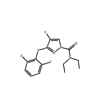 CCN(CC)C(=O)n1cc(F)c(Sc2c(F)cccc2F)n1